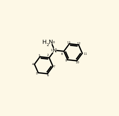 NN(C1=CCCC=C1)c1ccccc1